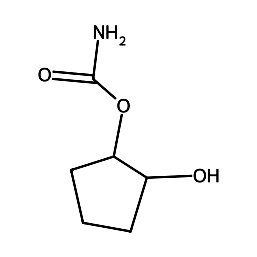 NC(=O)OC1CCCC1O